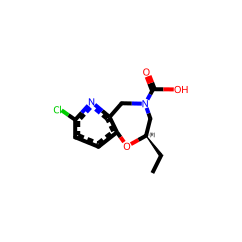 CC[C@@H]1CN(C(=O)O)Cc2nc(Cl)ccc2O1